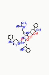 N=C(N)NCCC[C@H](NC(=O)[C@H](Cc1c[nH]c2ccccc12)NC(=O)[C@@H](N)Cc1c[nH]c2ccccc12)C(=O)N[C@@H](Cc1c[nH]c2ccccc12)C(=O)O